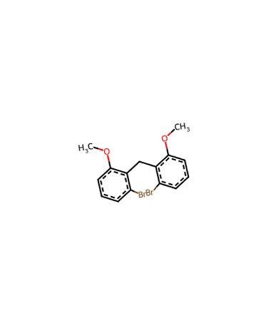 COc1cccc(Br)c1Cc1c(Br)cccc1OC